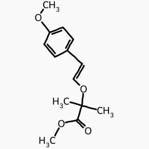 COC(=O)C(C)(C)OC=Cc1ccc(OC)cc1